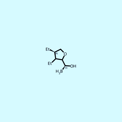 B[C@H](O)C1OC[C@H](CC)C1CC